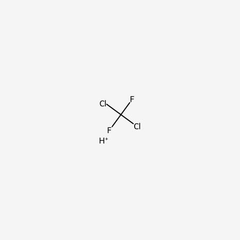 FC(F)(Cl)Cl.[H+]